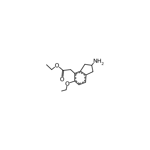 CCOC(=O)Cc1c(OCC)ccc2c1CC(N)C2